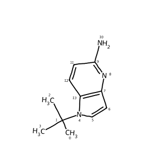 CC(C)(C)n1ccc2nc(N)ccc21